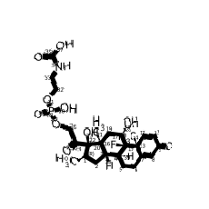 C[C@@H]1C[C@H]2[C@@H]3CCC4=CC(=O)C=C[C@]4(C)[C@@]3(F)[C@@H](O)C[C@]2(C)[C@@]1(O)C(=O)COP(=O)(O)OCCNC(=O)O